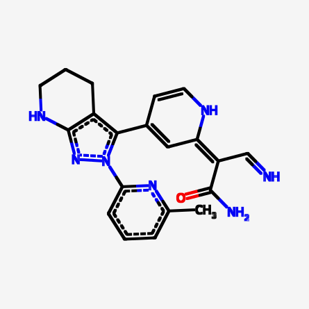 Cc1cccc(-n2nc3c(c2C2=C/C(=C(/C=N)C(N)=O)NC=C2)CCCN3)n1